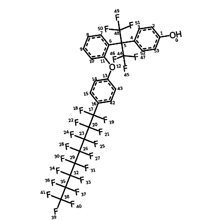 Oc1ccc(C(c2ccccc2Oc2ccc(C(F)(F)C(F)(F)C(F)(F)C(F)(F)C(F)(F)C(F)(F)C(F)(F)C(F)(F)F)cc2)(C(F)(F)F)C(F)(F)F)cc1